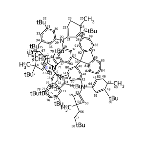 C=C/C(=C\C(C)(C)C(C)(C)C)N(c1cc(C(C)(C)C)cc(C(C)(C)C)c1)c1cc(N(C2=CCC(C)C(C(C)(C)C)=C2)c2cc(C(C)(C)C)cc(C(C)(C)C)c2)cc(C2(c3cc(N(C4=CCC(C)C(C(C)(C)C)=C4)C4=CC(C)(CCC(C)(C)C)C4)cc(N(C4=CCC(CC(C)C)C(C(C)(C)C)=C4)c4cc(C(C)(C)C)cc(C(C)(C)C)c4)c3)c3ccccc3-c3ccccc32)c1